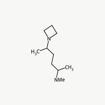 CNC(C)CCC(C)N1CCC1